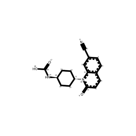 N#Cc1ccc2ccc(=O)n([C@H]3CC[C@H](NC(=O)O)CC3)c2c1